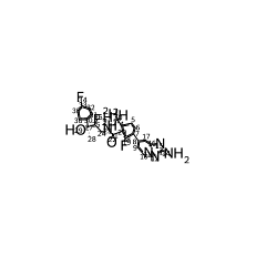 [2H]C([2H])([2H])c1ccc(-c2ccn3nc(N)nc3c2)c(F)c1C(=O)NC[C@H](F)[C@@](C)(O)c1ccc(F)cc1